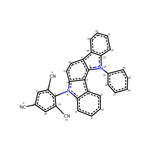 N#Cc1cc(C#N)c(-n2c3ccccc3c3c2ccc2c4ccccc4n(-c4ccccc4)c23)c(C#N)c1